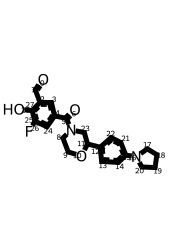 O=Cc1cc(C(=O)N2CCOC(c3ccc(N4CCCC4)cc3)C2)cc(F)c1O